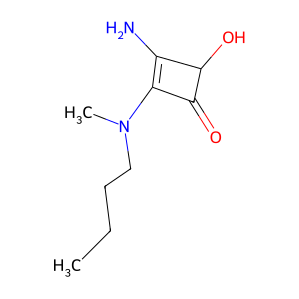 CCCCN(C)C1=C(N)C(O)C1=O